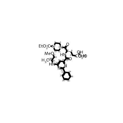 CCOC(=O)N1CCN(C(=O)[C@H](CCC(=O)O)NC(=O)c2cc(N[C@H](C)COC)nc(-c3ccccc3)n2)CC1.O=CO